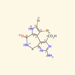 Nc1nc2c(c(C(=O)O)n1)-c1c([nH]c(Br)c1Br)C(=O)NC2